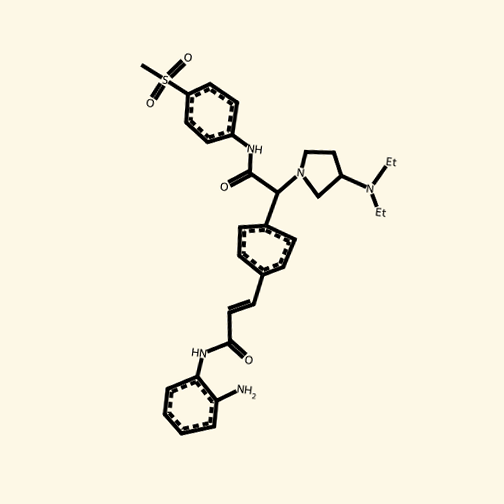 CCN(CC)C1CCN(C(C(=O)Nc2ccc(S(C)(=O)=O)cc2)c2ccc(C=CC(=O)Nc3ccccc3N)cc2)C1